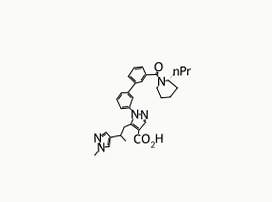 CCC[C@@H]1CCCCN1C(=O)c1cccc(-c2cccc(-n3ncc(C(=O)O)c3CC(C)c3cnn(C)c3)c2)c1